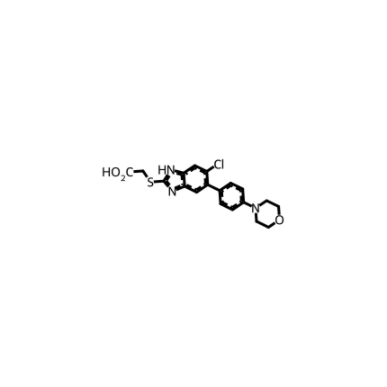 O=C(O)CSc1nc2cc(-c3ccc(N4CCOCC4)cc3)c(Cl)cc2[nH]1